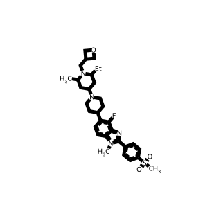 CCC1CC(N2CCC(c3ccc4c(nc(-c5ccc(S(C)(=O)=O)cc5)n4C)c3F)CC2)CC(C)N1CC1COC1